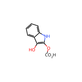 O=C(O)Oc1[nH]c2ccccc2c1O